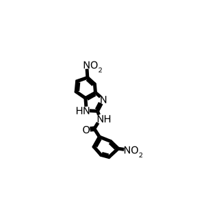 O=C(Nc1nc2cc([N+](=O)[O-])ccc2[nH]1)c1cccc([N+](=O)[O-])c1